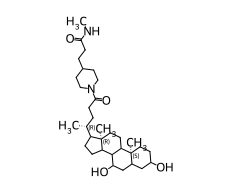 CNC(=O)CCC1CCN(C(=O)CC[C@@H](C)C2CCC3C4C(O)CC5CC(O)CC[C@]5(C)C4CC[C@@]32C)CC1